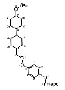 [CH2+][CH-]CCCCCOc1ccc(OOCC2CCC(C3CCC(OCCCC)CC3)CC2)cc1